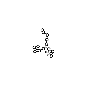 CC1(C)c2ccccc2-c2cccc(-c3ccc(N(c4ccc(-c5ccc(-c6cccc(-c7ccc8ccccc8c7)c6)cc5)cc4)c4ccc(-c5ccc6c(c5)C(c5ccccc5)(c5ccccc5)c5ccccc5-6)cc4)cc3)c21